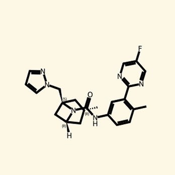 Cc1ccc(NC(=O)N2[C@@H]3C[C@@H](C)C[C@@]2(Cn2cccn2)C3)cc1-c1ncc(F)cn1